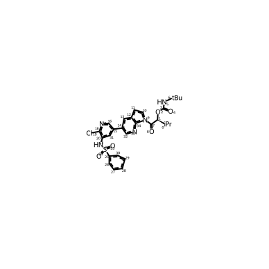 CC(C)[C@H](OC(=O)NC(C)(C)C)C(=O)n1ccc2cc(-c3cnc(Cl)c(NS(=O)(=O)c4ccccc4)c3)cnc21